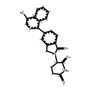 N#Cc1cnc(-c2ccc3c(c2)CN(C2CCC(=O)NC2=O)C3=O)c2ccccc12